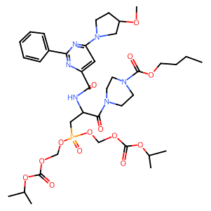 CCCCOC(=O)N1CCN(C(=O)C(CP(=O)(OCOC(=O)OC(C)C)OCOC(=O)OC(C)C)NC(=O)c2cc(N3CCC(OC)C3)nc(-c3ccccc3)n2)CC1